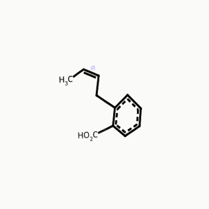 C/C=C\Cc1ccccc1C(=O)O